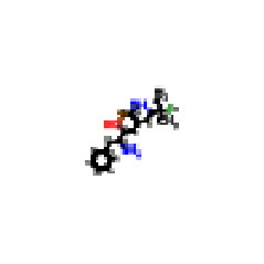 CC(C)(F)CCC(CC(O)C(N)Cc1ccccc1)C(N)=S